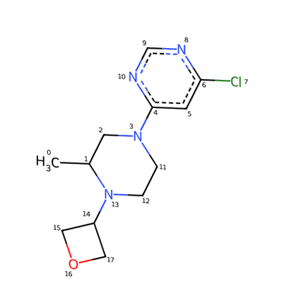 CC1CN(c2cc(Cl)ncn2)CCN1C1COC1